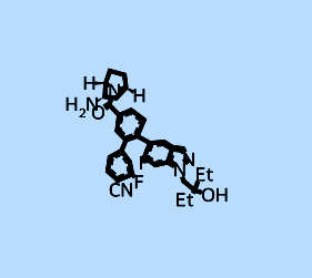 CCC(O)(CC)Cn1ncc2cc(-c3ccc(C(=O)N4[C@@H]5CC[C@H]4[C@@H](N)C5)cc3-c3ccc(C#N)c(F)c3)c(F)cc21